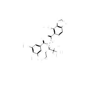 CCC[C@@H](N(NC(=O)c1ccc2c(c1C)OCO2)C(=O)c1cc(C)cc(C)c1)C(C)(C)C